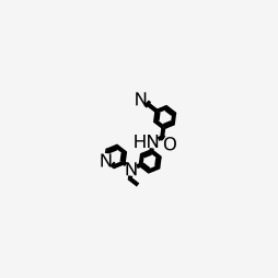 CCN(c1cccnc1)c1cccc(NC(=O)c2cccc(C#N)c2)c1